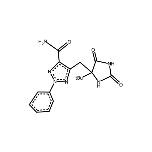 CC(C)(C)C1(Cc2nn(-c3ccccc3)nc2C(N)=O)NC(=O)NC1=O